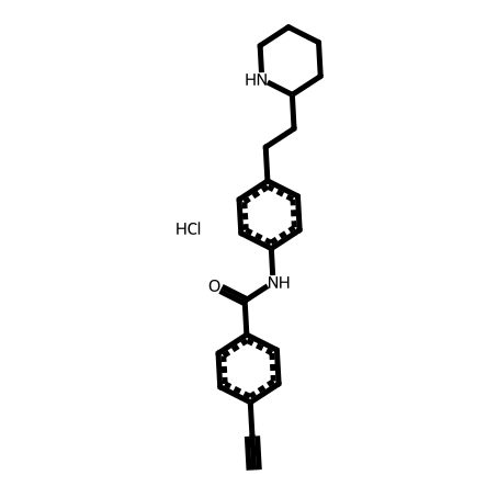 C#Cc1ccc(C(=O)Nc2ccc(CCC3CCCCN3)cc2)cc1.Cl